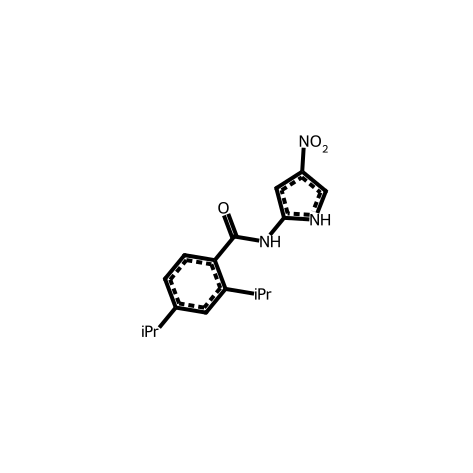 CC(C)c1ccc(C(=O)Nc2cc([N+](=O)[O-])c[nH]2)c(C(C)C)c1